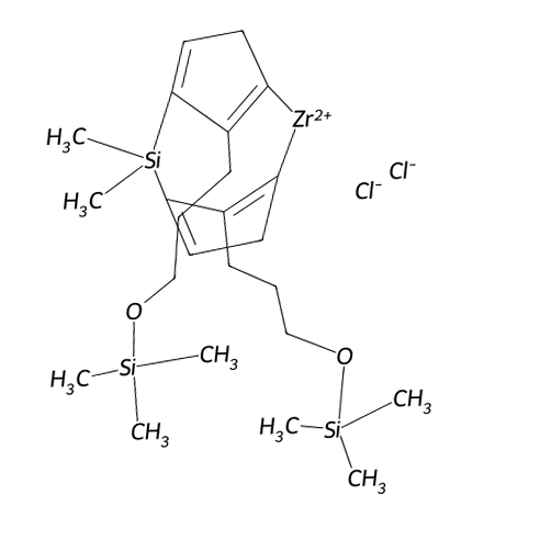 C[Si](C)(C)OCCCC1=[C]2CC=C1[Si](C)(C)C1=CC[C](=C1CCCO[Si](C)(C)C)[Zr+2]2.[Cl-].[Cl-]